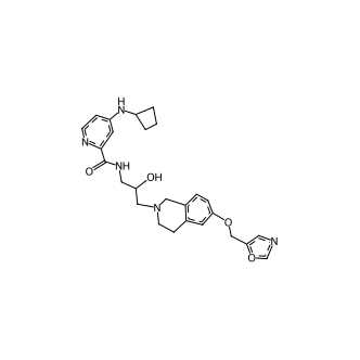 O=C(NCC(O)CN1CCc2cc(OCc3cnco3)ccc2C1)c1cc(NC2CCC2)ccn1